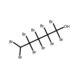 OC(Br)(Br)C(Br)(Br)C(Br)(Br)C(Br)(Br)C(Br)Br